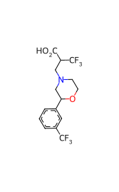 O=C(O)C(CN1CCOC(c2cccc(C(F)(F)F)c2)C1)C(F)(F)F